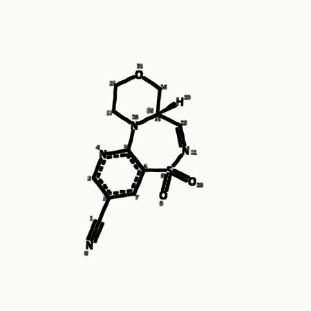 N#Cc1cnc2c(c1)S(=O)(=O)N=C[C@H]1COCCN21